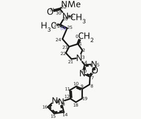 C=C1CN(c2noc(CC3=CC=C(n4cccn4)CC3)n2)CCC1C/C=C(\C)N(C)C(=O)NC